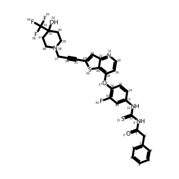 O=C(Cc1ccccc1)NC(=S)Nc1ccc(Oc2ccnc3cc(C#CCN4CCC(O)(C(F)(F)F)CC4)sc23)c(F)c1